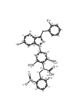 Nc1nc(-n2nc(Cc3ccccc3F)c3ncc(F)cc32)nc(N)c1N(Cc1c(F)cccc1[N+](=O)[O-])C(=O)O